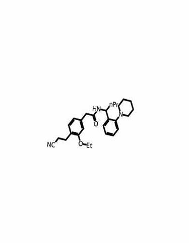 CCCC(NC(=O)Cc1ccc(CCC#N)c(OCC)c1)c1ccccc1N1CCCCC1